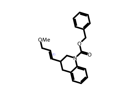 COC/C=C/C1Cc2ccccc2N(C(=O)OCc2ccccc2)C1